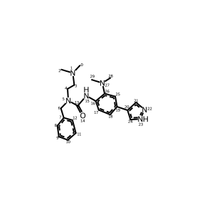 CN(C)CCN(Cc1ccccc1)C(=O)Nc1ccc(-c2cn[nH]c2)cc1N(C)C